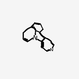 C1=Cn2c3c(c4c2=C(C=CC4)C1)C=CN=CC=3